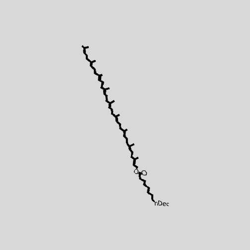 CCCCCCCCCCCCCCCCCC(=O)OC/C=C(\C)CC/C=C(\C)CC/C=C(\C)CC/C=C(\C)CC/C=C(\C)CC/C=C(\C)CC/C=C(\C)CC/C=C(\C)CCC=C(C)C